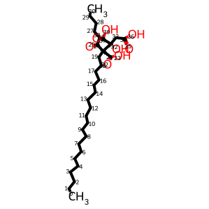 CCCCCCCCCCCCCCCCCCCCC(C(=O)O)(C(=O)CCCCC)C(O)(CC(=O)O)C(=O)O